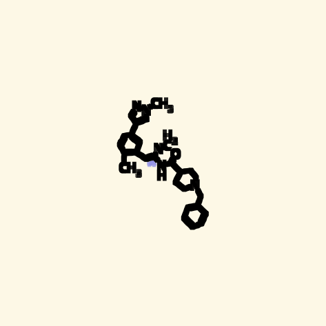 C=N/C(=C\c1cc(-c2cnn(C)c2)ccc1C)NC(=O)C1CCN(Cc2ccccc2)CC1